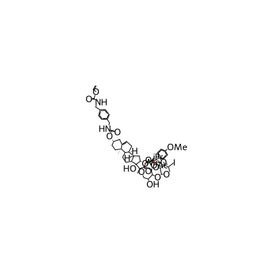 C=COC(=O)NCc1ccc(CNC(=O)O[C@H]2CC[C@@]3(C)C(=CC[C@@H]4C3CC[C@@]3(C)[C@H]4C[C@H](OC4OCC(O)C(OC5OCC(I)C(OC)C5OC(=O)c5ccc(OC)cc5)C4OC(C)=O)[C@]3(O)[C@H](C)C(=O)CCC(C)C)C2)cc1